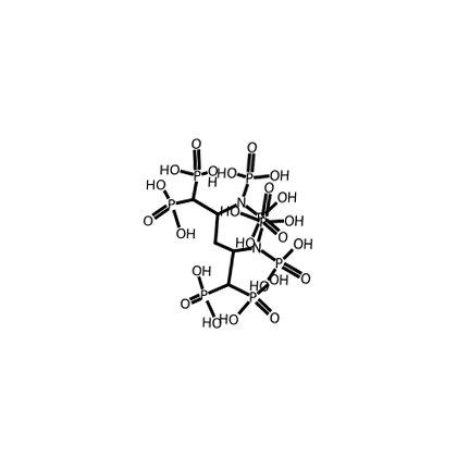 O=P(O)(O)C(C(CC(C(P(=O)(O)O)P(=O)(O)O)N(P(=O)(O)O)P(=O)(O)O)N(P(=O)(O)O)P(=O)(O)O)P(=O)(O)O